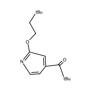 CC(C)(C)CCOc1cc(C(=O)C(C)(C)C)ccn1